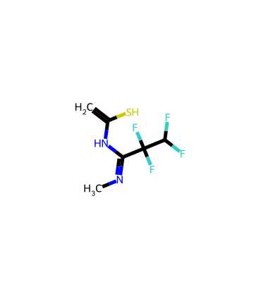 C=C(S)N/C(=N\C)C(F)(F)C(F)F